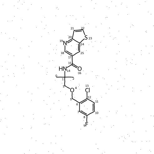 CC(C)(COCc1cc(F)ccc1Cl)NC(=O)c1cnc2ccsc2c1